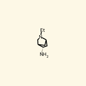 CCN1CC2CC1C[C@@H]2N